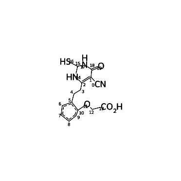 N#CC1=C(CCc2ccccc2OCC(=O)O)NC(S)NC1=O